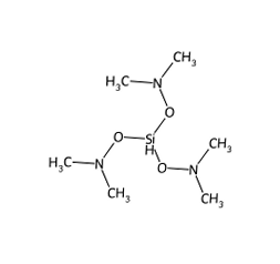 CN(C)O[SiH](ON(C)C)ON(C)C